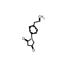 C=CCc1ccc(N2CC(=O)CC2=O)cc1